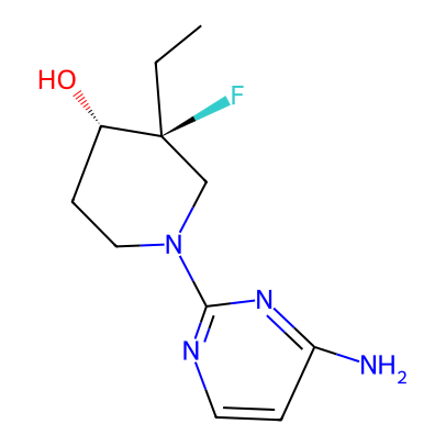 CC[C@]1(F)CN(c2nccc(N)n2)CC[C@@H]1O